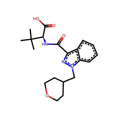 CC(C)(C)[C@H](NC(=O)c1nn(CC2CCOCC2)c2ccccc12)C(=O)O